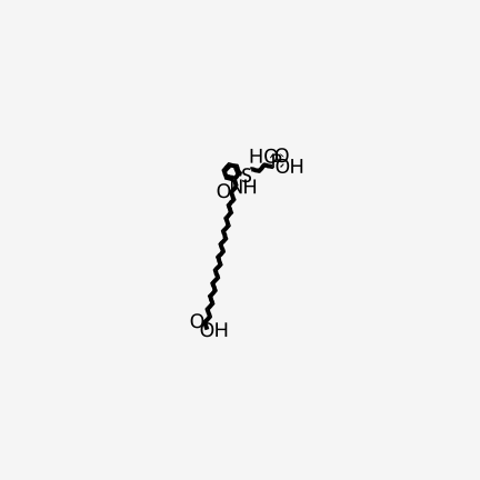 O=C(O)CCCCCCCCCCCCCCCCCCCC(=O)Nc1ccccc1SCCCCP(=O)(O)O